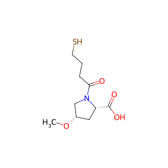 CO[C@H]1C[C@@H](C(=O)O)N(C(=O)CCCS)C1